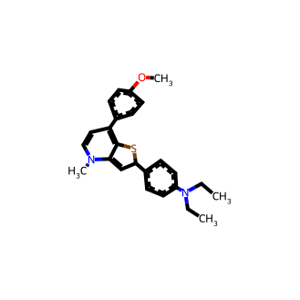 CCN(CC)c1ccc(C2C=C3C(=C(c4ccc(OC)cc4)C=CN3C)S2)cc1